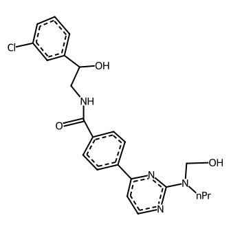 CCCN(CO)c1nccc(-c2ccc(C(=O)NCC(O)c3cccc(Cl)c3)cc2)n1